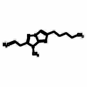 C=CCc1nn2cc(CCCCC)nc2n1C